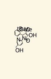 COc1ccccc1C1C(C(=O)C(C)(C)C)=C(O)C(=O)N1c1ccc(CO)cn1